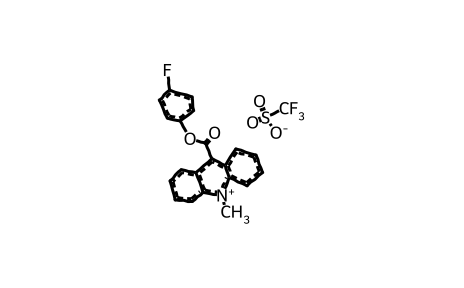 C[n+]1c2ccccc2c(C(=O)Oc2ccc(F)cc2)c2ccccc21.O=S(=O)([O-])C(F)(F)F